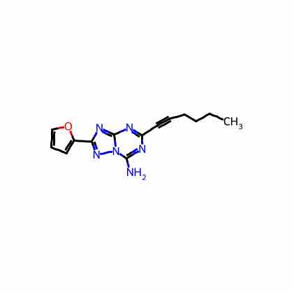 CCCCC#Cc1nc(N)n2nc(-c3ccco3)nc2n1